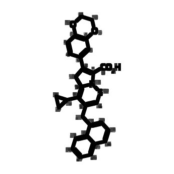 O=C(O)C1=C(c2ccc3c(c2)OCCO3)CC2=C(C3CC3)C(Cc3cccc4ccccc34)=CSN21